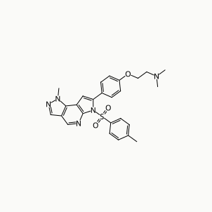 Cc1ccc(S(=O)(=O)n2c(-c3ccc(OCCN(C)C)cc3)cc3c4c(cnc32)cnn4C)cc1